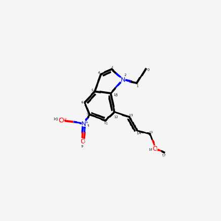 CCn1ccc2cc([N+](=O)[O-])cc(C=CCOC)c21